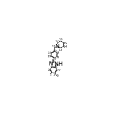 Cc1ccc2nc(-c3ccc(CN4CCCCC4)cc3)[nH]c2c1